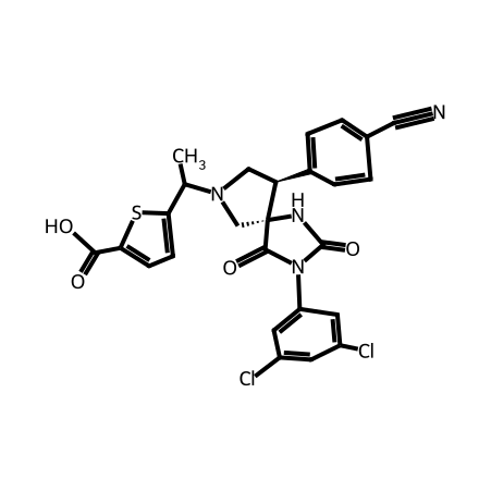 CC(c1ccc(C(=O)O)s1)N1C[C@@H](c2ccc(C#N)cc2)[C@@]2(C1)NC(=O)N(c1cc(Cl)cc(Cl)c1)C2=O